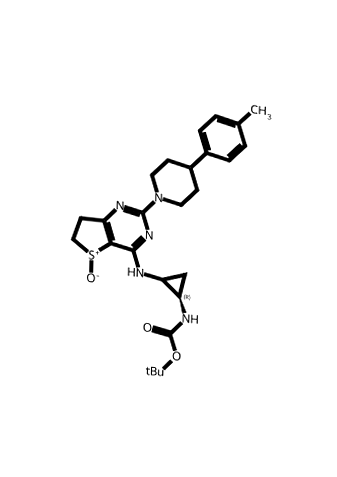 Cc1ccc(C2CCN(c3nc4c(c(NC5C[C@H]5NC(=O)OC(C)(C)C)n3)[S+]([O-])CC4)CC2)cc1